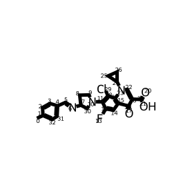 Cc1ccc(C=NC2CCN(c3c(F)cc4c(=O)c(C(=O)O)cn(C5CC5)c4c3Cl)C2)cc1